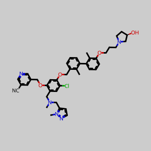 Cc1c(COc2cc(OCc3cncc(C#N)c3)c(CN(C)Cc3ccnn3C)cc2Cl)cccc1-c1cccc(OCCCN2CC[C@@H](O)C2)c1C